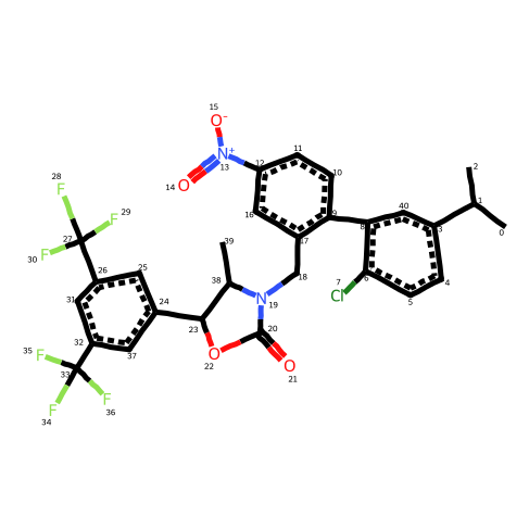 CC(C)c1ccc(Cl)c(-c2ccc([N+](=O)[O-])cc2CN2C(=O)OC(c3cc(C(F)(F)F)cc(C(F)(F)F)c3)C2C)c1